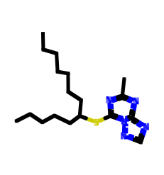 CCCCCCCC(CCCCC)Sc1nc(C)nc2ncnn12